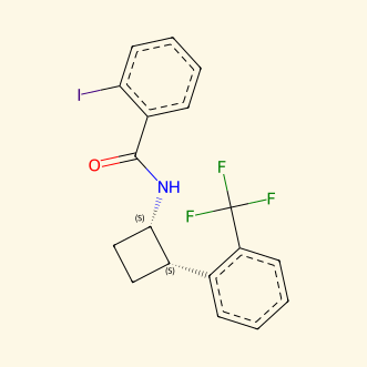 O=C(N[C@H]1CC[C@H]1c1ccccc1C(F)(F)F)c1ccccc1I